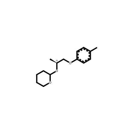 Cc1ccc(OC[C@H](C)OC2CCCCO2)cc1